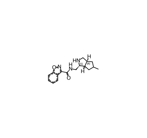 CC1C[C@H]2CN[C@H](CNC(=O)c3noc4ccccc34)[C@H]2C1